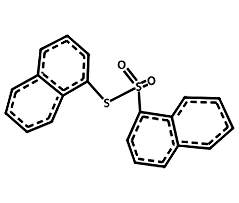 O=S(=O)(Sc1cccc2ccccc12)c1cccc2ccccc12